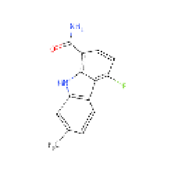 NC(=O)c1ccc(F)c2c1[nH]c1cc(C(F)(F)F)ccc12